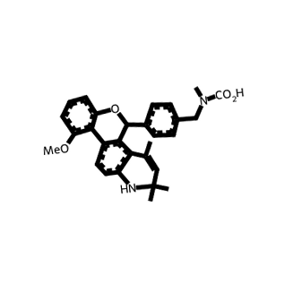 COc1cccc2c1-c1ccc3c(c1C(c1ccc(CN(C)C(=O)O)cc1)O2)C(C)=CC(C)(C)N3